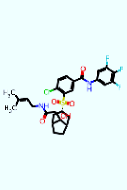 CC(C)=CCNC(=O)C[C@]1(O)C2CCC1C[C@@H](S(=O)(=O)c1cc(C(=O)Nc3cc(F)c(F)c(F)c3)ccc1Cl)C2